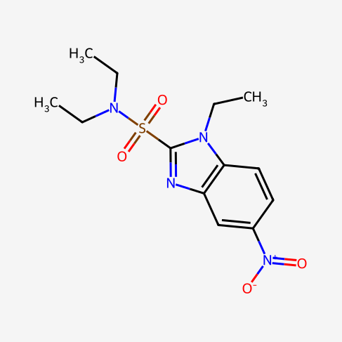 CCN(CC)S(=O)(=O)c1nc2cc([N+](=O)[O-])ccc2n1CC